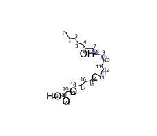 CCCCCC(O)/C=C/C=C\C/C=C\CCCCCOCC(=O)O